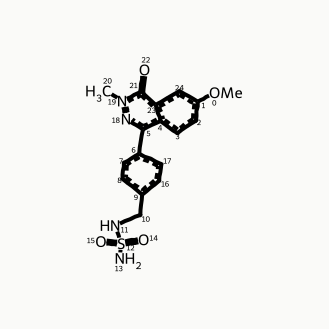 COc1ccc2c(-c3ccc(CNS(N)(=O)=O)cc3)nn(C)c(=O)c2c1